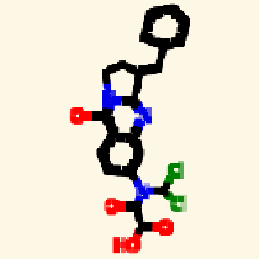 O=C(O)C(=O)N(c1ccc2c(=O)n3c(nc2c1)C(=Cc1ccccc1)CC3)C(Cl)Cl